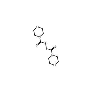 S=C(SSC(=S)N1CCOCC1)N1CCOCC1